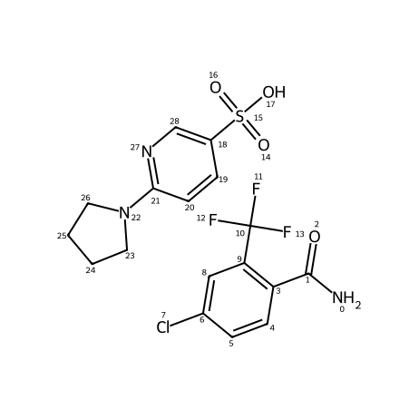 NC(=O)c1ccc(Cl)cc1C(F)(F)F.O=S(=O)(O)c1ccc(N2CCCC2)nc1